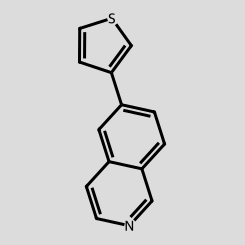 c1cc2cc(-c3ccsc3)ccc2cn1